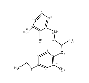 CCCc1ccc(OC(C)CNc2ncnc(C)c2Br)c(C)c1